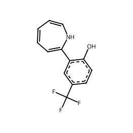 Oc1ccc(C(F)(F)F)cc1C1=CC=CC=CN1